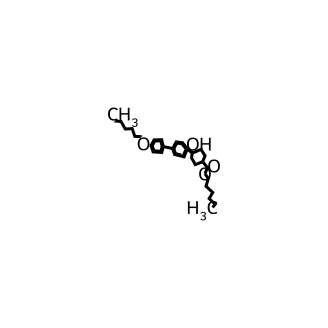 CCCCCCCOc1ccc(-c2ccc(C3(O)CCC(C(=O)OCCCCCC)CC3)cc2)cc1